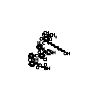 COC1=C(OC)C(=O)C(CCCCCCCCCCO)=C(C)C1=O.Clc1ccc2c(c1)C(N1CCNCC1)=Nc1ccccc1O2.O=C(O)COC(=O)Cc1ccccc1Nc1c(Cl)cccc1Cl